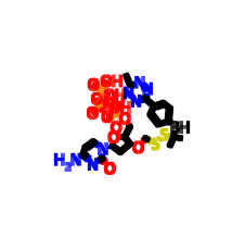 Cc1nnc(-c2ccc(BC(C)(C)SSCO[C@@H]3C[C@H](n4ccc(N)nc4=O)OC3COP(=O)(O)OP(=O)(O)OP(=O)(O)O)cc2)nn1